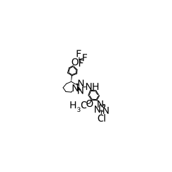 COc1cc(Nc2nc3n(n2)CCCC[C@H]3c2ccc(OC(F)(F)F)cc2)ccc1-n1cnc(Cl)n1